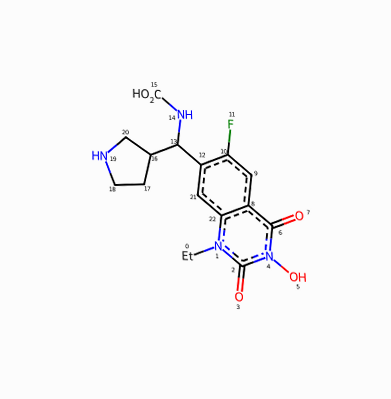 CCn1c(=O)n(O)c(=O)c2cc(F)c(C(NC(=O)O)C3CCNC3)cc21